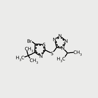 CC(C)n1nnnc1Sc1nc(C(C)(C)C)c(Br)s1